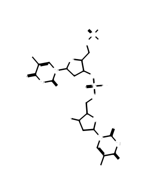 Cc1cn(C2CC(O)C(COP(=O)(O)OC3CC(n4cc(C)c(=O)[nH]c4=O)OC3COP(=O)(O)O)O2)c(=O)[nH]c1=O